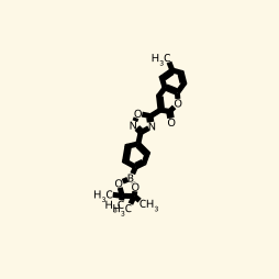 Cc1ccc2oc(=O)c(-c3nc(-c4ccc(B5OC(C)(C)C(C)(C)O5)cc4)no3)cc2c1